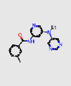 CCN(c1cncnc1)c1cncc(NC(=O)c2cccc(C)c2)c1